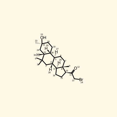 CC1(C)C[C@@H]2[C@H](CC[C@]3(C)[C@@H](C(=O)CBr)CC[C@@H]23)[C@H]2CC[C@](C)(O)C[C@H]21